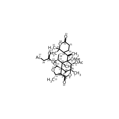 C=C1C2(OC)[C@@H](OC(C)=O)[C@]3(C)OC(=O)C4[C@H](C)OC(=O)[C@]4(C3=C)[C@]2(C)[C@@H](OC(=O)CC(C)=O)C[C@]12CCC(=O)OC2(C)C